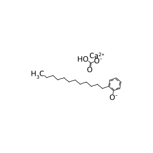 CCCCCCCCCCCCc1ccccc1[O-].O=C([O-])O.[Ca+2]